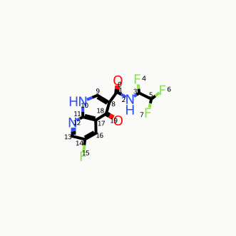 O=C(NC(F)C(F)F)c1c[nH]c2ncc(F)cc2c1=O